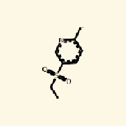 [CH2]c1ccc(S(=O)(=O)CC)cn1